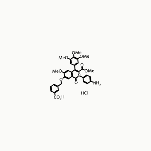 COC(=O)c1c(-c2cc(OC)c(OC)c(OC)c2)c2cc(OC)c(OCc3cccc(C(=O)O)c3)cc2c(=O)n1-c1ccc(N)cc1.Cl